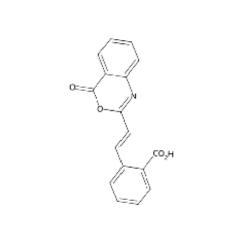 O=C(O)c1ccccc1C=Cc1nc2ccccc2c(=O)o1